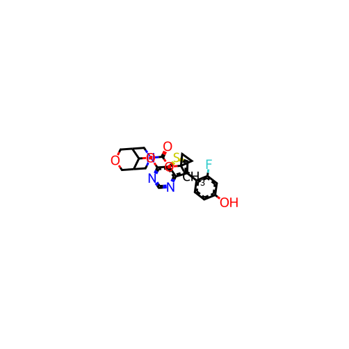 CC1(OC(=O)N2CC3COCC(C2)C3Oc2ncnc3c(-c4ccc(O)cc4F)csc23)CC1